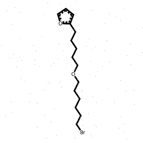 BrCCCCCCOCCCCCc1ccco1